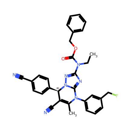 CCN(C(=O)OCc1ccccc1)c1nc2n(n1)[C@H](c1ccc(C#N)cc1)C(C#N)=C(C)N2c1cccc(CF)c1